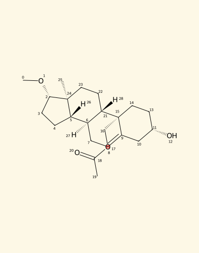 CO[C@H]1CC[C@H]2[C@@H]3CC=C4C[C@@H](O)CC[C@]4(COC(C)=O)[C@H]3CC[C@]12C